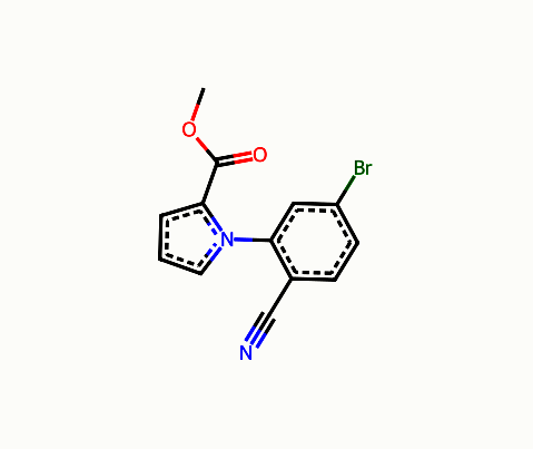 COC(=O)c1cccn1-c1cc(Br)ccc1C#N